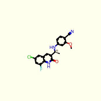 COc1cc(N[C@@H](C)c2cc3cc(Cl)cc(F)c3[nH]c2=O)ccc1C#N